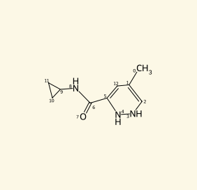 CC1=CNNC(C(=O)NC2CC2)=C1